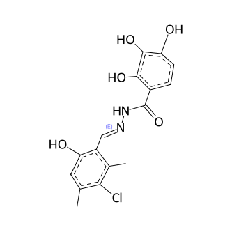 Cc1cc(O)c(/C=N/NC(=O)c2ccc(O)c(O)c2O)c(C)c1Cl